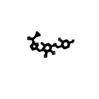 Cc1cc(OCc2ccc(F)cc2F)c(Cl)c(=O)n1Cc1ccn(C(=O)C2CC2)n1